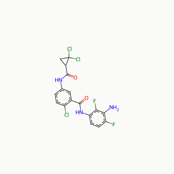 Nc1c(F)ccc(NC(=O)c2cc(NC(=O)C3CC3(Cl)Cl)ccc2Cl)c1F